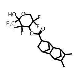 CC1C(C)C2CC1C1C3CC(C(=O)OC4C(F)(F)COC(O)(C(F)(F)F)C4(F)F)C(C3)C21